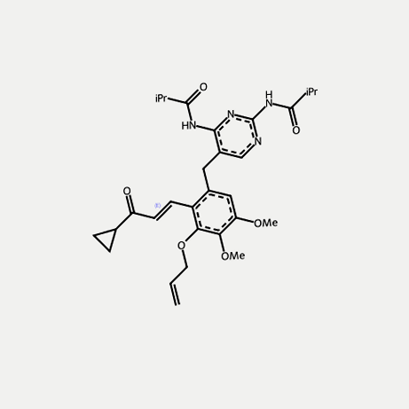 C=CCOc1c(/C=C/C(=O)C2CC2)c(Cc2cnc(NC(=O)C(C)C)nc2NC(=O)C(C)C)cc(OC)c1OC